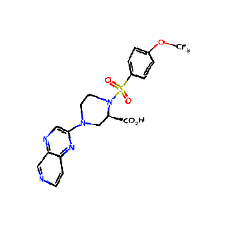 O=C(O)[C@H]1CN(c2cnc3cnccc3n2)CCN1S(=O)(=O)c1ccc(OC(F)(F)F)cc1